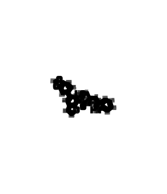 O=S(=O)(N[C@@H](CO)Cc1c[nH]c2ccccc12)c1cc(-c2ccc3c(c2)OCO3)cc2c1OCC2